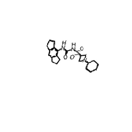 O=C(Nc1c2c(cc3c1CCC3)CCC2)NS(=O)(=O)C1CN(C2CCCCC2)C1